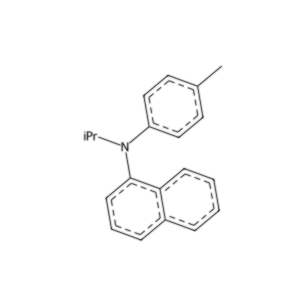 Cc1ccc(N(c2cccc3ccccc23)C(C)C)cc1